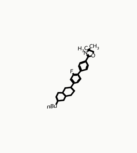 CCCCC1CCC2CC(c3ccc(-c4ccc(C5=NC(C)(C)CO5)cc4)c(F)c3)CCC2C1